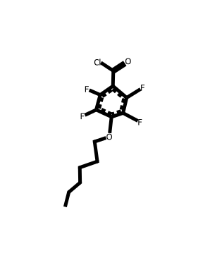 CCCCCCOc1c(F)c(F)c(C(=O)Cl)c(F)c1F